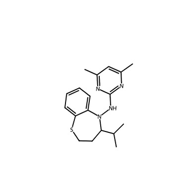 Cc1cc(C)nc(NN2c3ccccc3SCCC2C(C)C)n1